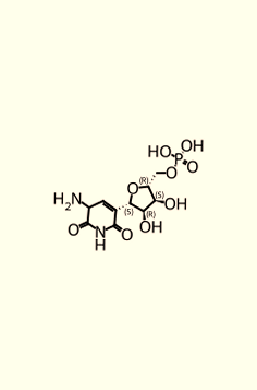 NC1C=C([C@@H]2O[C@H](COP(=O)(O)O)[C@@H](O)[C@H]2O)C(=O)NC1=O